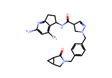 Nc1cc(C(F)(F)F)c2c(n1)CCC2NC(=O)C1C=NN(Cc2ccc(CN3CC4CC4C3=O)cc2)C1